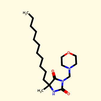 CCCCCCCCCCCC1(C)NC(=O)N(CN2CCOCC2)C1=O